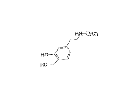 O=CNCCc1ccc(CO)c(O)c1